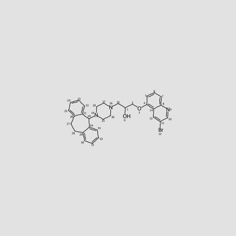 OC(COc1cccc2ncc(Br)cc12)CN1CCN(C2c3ccccc3CCc3ccccc32)CC1